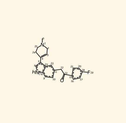 CN1CC=C(c2c[nH]c3ccc(CC(=O)c4ccc(F)cc4)cc23)CC1